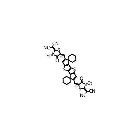 CCn1c(=C(C#N)C#N)s/c(=C/C2=Cc3sc4c5c(sc4c3C23CCCCC3)C=C(/C=c2/sc(=C(C#N)C#N)n(CC)c2=O)C52CCCCC2)c1=O